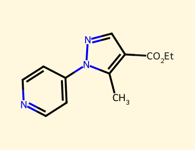 CCOC(=O)c1cnn(-c2ccncc2)c1C